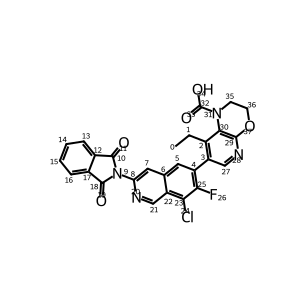 CCc1c(-c2cc3cc(N4C(=O)c5ccccc5C4=O)ncc3c(Cl)c2F)cnc2c1N(C(=O)O)CCO2